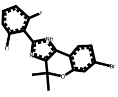 CC1(C)Oc2cc(Br)ccc2-c2[nH]c(-c3c(F)cccc3Cl)nc21